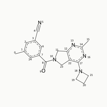 Cc1cc(C#N)cc(C(=O)N2Cc3nc(C)nc(N4CCC4)c3C2)c1